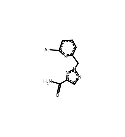 CC(=O)c1cccc(Cn2ncc(C(N)=O)n2)n1